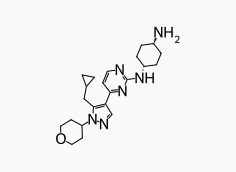 N[C@H]1CC[C@H](Nc2nccc(-c3cnn(C4CCOCC4)c3CC3CC3)n2)CC1